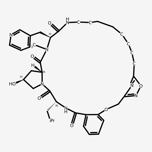 CC(C)C[C@H]1NC(=O)c2ccccc2OCc2noc(n2)CCCCCCCCNC(=O)[C@H](Cc2cccnc2)N(C)C(=O)[C@H]2C[C@H](O)CN2C1=O